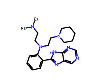 CCN(CC)CCN(CCN1CCCCC1)c1ccccc1-c1nc2cncnc2[nH]1